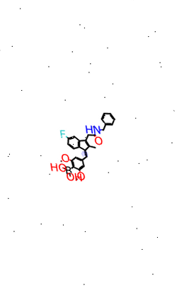 COc1cc(/C=C2/C(C)=C(CC(=O)NCc3ccccc3)c3cc(F)ccc32)cc(OC)c1B(O)O